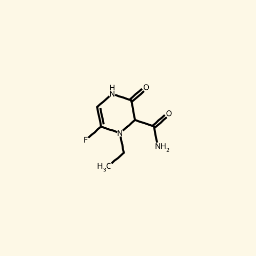 CCN1C(F)=CNC(=O)C1C(N)=O